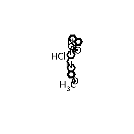 COc1ccc2c(c1)CCN(CC1CCN(S(=O)(=O)c3cccc4cccnc34)CC1)C2.Cl